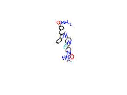 Cc1c(Cc2ccc(C(N)=O)cc2)c2ccccc2n1CC1CCN(CC2(F)CCN(C(=O)NC(C)C)CC2)CC1